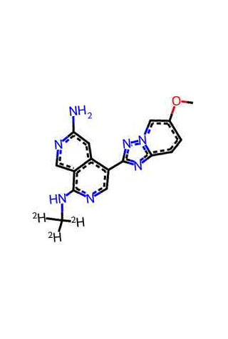 [2H]C([2H])([2H])Nc1ncc(-c2nc3ccc(OC)cn3n2)c2cc(N)ncc12